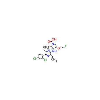 CCc1nc(-c2ccc(Cl)cc2Cl)c(CC)nc1N[C@@H]1C(C)N(C(=O)O)C[C@@H]1OCCF